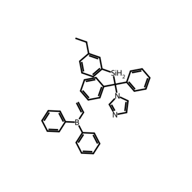 C=CB(c1ccccc1)c1ccccc1.CCc1cccc([SiH2]C(c2ccccc2)(c2ccccc2)n2ccnc2)c1